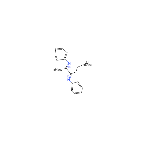 CCCCCCCCCCCCC(=N\c1ccccc1)/C(CCCCCC)=N/c1ccccc1.[Ni]